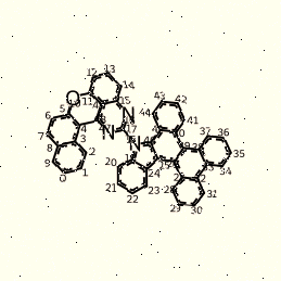 c1ccc2c3c(ccc2c1)Oc1cccc2nc(-n4c5ccccc5c5c6c7ccccc7c7ccccc7c6c6ccccc6c54)nc-3c12